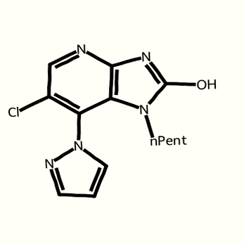 CCCCCn1c(O)nc2ncc(Cl)c(-n3cccn3)c21